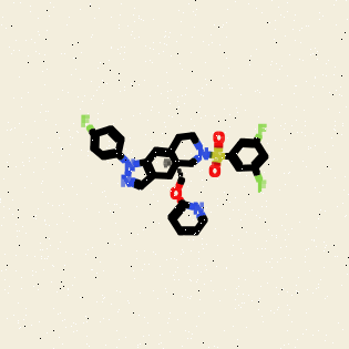 O=S(=O)(c1cc(F)cc(F)c1)N1CCC2=Cc3c(cnn3-c3ccc(F)cc3)C[C@]2(COc2ccccn2)C1